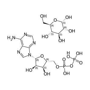 Nc1ncnc2c1ncn2[C@@H]1O[C@H](COP(=O)(O)OP(=O)(O)O)[C@@H](O)[C@H]1O.OC[C@H]1O[C@H](O)[C@H](O)[C@@H](O)[C@@H]1O